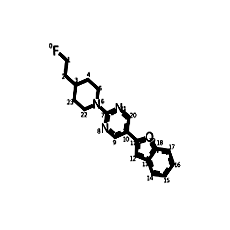 FCCC1CCN(c2ncc(-c3cc4ccccc4o3)cn2)CC1